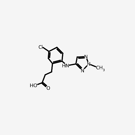 Cn1ncc(Nc2ccc(Cl)cc2CCC(=O)O)n1